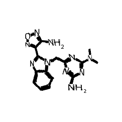 CN(C)c1nc(N)nc(Cn2c(-c3nonc3N)nc3ccccc32)n1